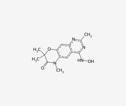 Cc1nc(NO)c2cc3c(cc2n1)OC(C)(C)C(=O)N3C